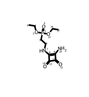 CCOP(=O)(CCNc1c(N)c(=O)c1=O)OCC